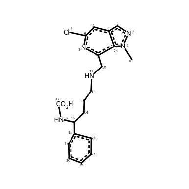 Cn1ncc2cc(Cl)nc(CNCCCC(NC(=O)O)c3ccccc3)c21